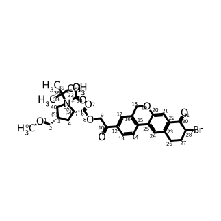 COC[C@H]1C[C@@H](C(=O)OCC(=O)c2ccc3c(c2)COc2cc4c(cc2-3)CCC(Br)C4=O)[N+](C(=O)O)(C(C)(C)C)C1